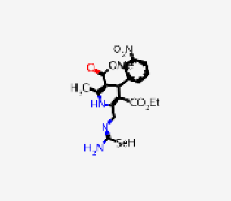 CCOC(=O)C1=C(CN=C(N)[SeH])NC(C)=C(C(=O)OC)C1c1cccc([N+](=O)[O-])c1